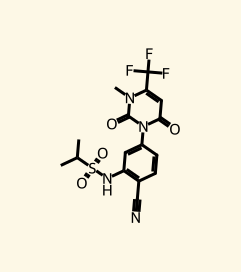 CC(C)S(=O)(=O)Nc1cc(-n2c(=O)cc(C(F)(F)F)n(C)c2=O)ccc1C#N